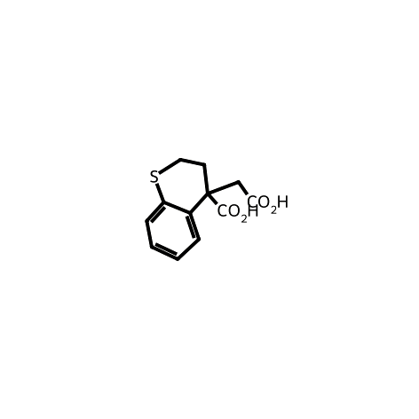 O=C(O)CC1(C(=O)O)CCSc2ccccc21